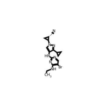 CCNc1nc(Nc2cn(C3C[C@@H]3C#N)nc2C2CC2)ncc1Br